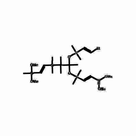 CCC=C[Si](C)(C)OC(C)(O[Si](C)(C)C=C[SiH](OC)OC)C(C)(C)[Si](C)(C)C=C[Si](C)(OC)OC